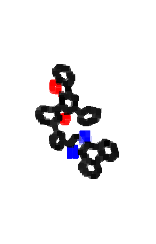 c1ccc(-c2cc3c4ccccc4oc3c3c2oc2c(-c4cccc(-c5cnc6c7ccccc7c7ccccc7c6n5)c4)cccc23)cc1